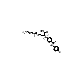 CCCCNC(=O)OCCC(C(=O)O)S(=O)(=O)c1ccc(C(=O)Nc2ccc(Cl)cc2)cc1